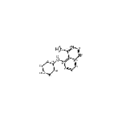 Nc1ncnc2cccc(OC3CCOCC3)c12